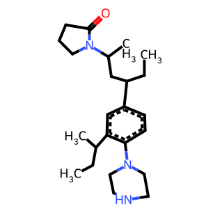 CCC(C)c1cc(C(CC)CC(C)N2CCCC2=O)ccc1N1CCNCC1